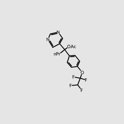 CCCC(OC(C)=O)(c1ccc(OC(F)(F)C(F)F)cc1)c1cncnc1